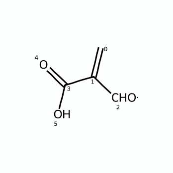 C=C([C]=O)C(=O)O